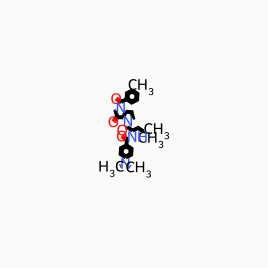 Cc1cccc(C(=O)N2CC(=O)C3C2CCN3C(=O)C(CC(C)C)NC(=O)c2ccc(N(C)C)cc2)c1